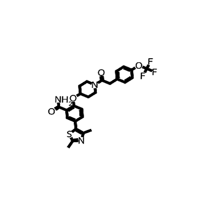 Cc1nc(C)c(-c2ccc(OC3CCN(C(=O)Cc4ccc(OC(F)(F)F)cc4)CC3)c(C(N)=O)c2)s1